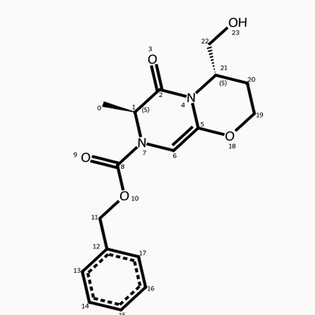 C[C@H]1C(=O)N2C(=CN1C(=O)OCc1ccccc1)OCC[C@H]2CO